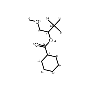 COCC(OC(=O)C1CCCCC1)C(C)(C)C